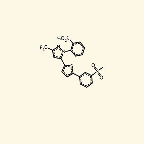 CS(=O)(=O)c1cccc(-c2ccc(-c3cc(C(F)(F)F)nn3-c3ccccc3C(=O)O)s2)c1